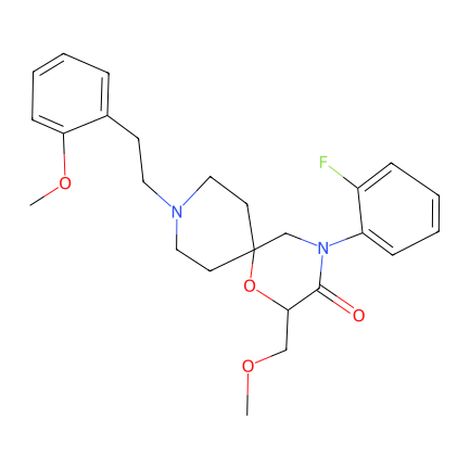 COCC1OC2(CCN(CCc3ccccc3OC)CC2)CN(c2ccccc2F)C1=O